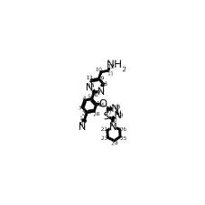 N#Cc1ccc(-c2ncc(CCN)cn2)c(Oc2nnc(N3CCCCC3)s2)c1